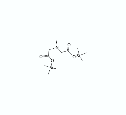 CN(CC(=O)O[Si](C)(C)C)CC(=O)O[Si](C)(C)C